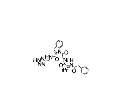 CC(C)[C@H](NC(=O)Cc1ccccc1)C(=O)NCC(=O)N1c2ccccc2C[C@H]1C(=O)NCc1nn[nH]n1